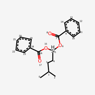 CC(C)CC[SiH](OC(=O)c1ccccc1)OC(=O)c1ccccc1